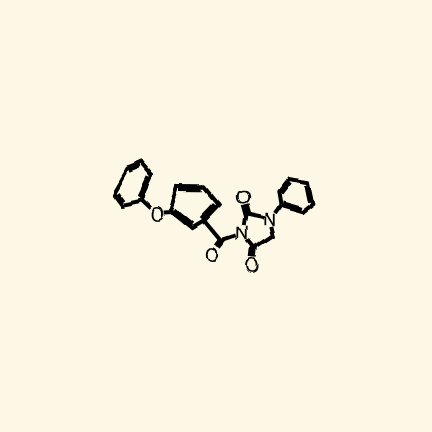 O=C1CN(c2ccccc2)C(=O)N1C(=O)c1cccc(Oc2ccccc2)c1